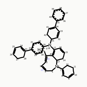 C/C1=C\C=C/CN(C2=CC=CCC2)C2CC=CC(N(c3ccc(C4=CC=CCC4)cc3)C3C=CC(c4ccccc4)=CC3)=C12